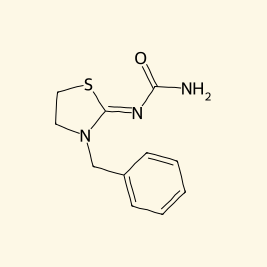 NC(=O)N=C1SCCN1Cc1ccccc1